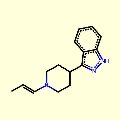 CC=CN1CCC(c2n[nH]c3ccccc23)CC1